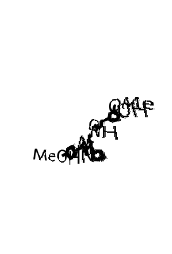 COc1ccc(-c2nc(CNC(=O)/C=C/c3ccc(O)c(OC)c3)cc3c2[nH]c2ccccc23)cc1